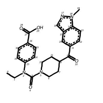 CCN(C(=O)N1CCC(C(=O)c2ccc3c(cnn3C)c2)CC1)c1ccc(C(=O)O)cc1